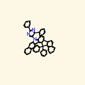 c1ccc(-c2ncc(-n3c4cc5ccccc5cc4c4c5c(ccc43)-c3ccc4ccccc4c3C5(c3ccccc3)c3ccccc3)c(-c3ccccc3)n2)cc1